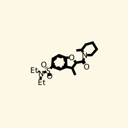 CCN(CC)S(=O)(=O)c1ccc2c(c1)C(C)C(C(=O)N1CCCCC1C)O2